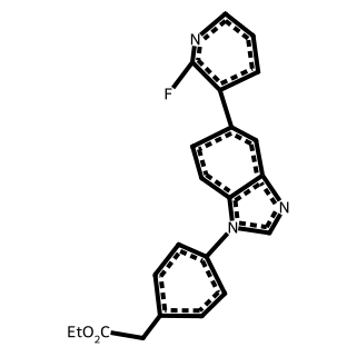 CCOC(=O)Cc1ccc(-n2cnc3cc(-c4cccnc4F)ccc32)cc1